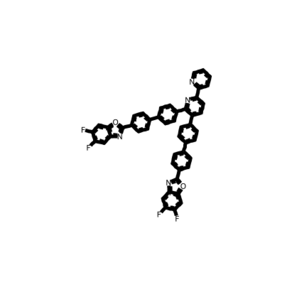 Fc1cc2nc(-c3ccc(-c4ccc(-c5ccc(-c6ccccn6)nc5-c5ccc(-c6ccc(-c7nc8cc(F)c(F)cc8o7)cc6)cc5)cc4)cc3)oc2cc1F